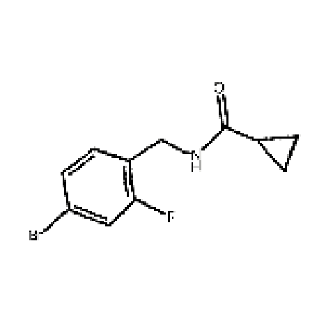 O=C(NCc1ccc(Br)cc1F)C1CC1